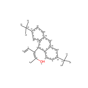 C=C/C(=C(\C)O)c1c2ccc(C(C)(C)C)cc2cc2ccc(C(C)(C)C)cc12